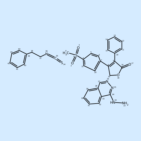 CS(=O)(=O)c1ccc(C2=C(c3ccccc3)C(=O)OC2)cc1.NNc1nncc2ccccc12.S=C=NCCc1ccccc1